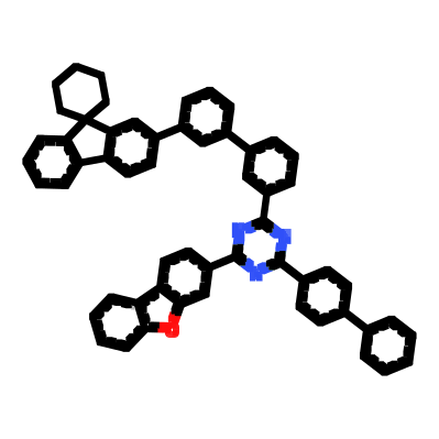 c1ccc(-c2ccc(-c3nc(-c4cccc(-c5cccc(-c6ccc7c(c6)C6(CCCCC6)c6ccccc6-7)c5)c4)nc(-c4ccc5c(c4)oc4ccccc45)n3)cc2)cc1